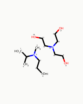 CCCCCCCCCCCCN(C)C(C)C(=O)O.OCCN(CCO)CCO